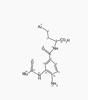 CC(=O)CCC(NC(=O)c1ccc(N)c(NC(=O)C(C)(C)C)c1)C(=O)O